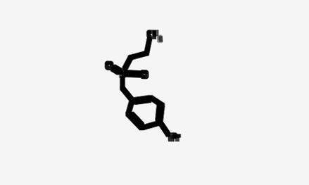 CC(C)c1ccc(CS(=O)(=O)CCC(F)(F)F)cc1